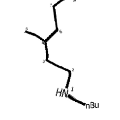 CCCCNCCC(C)CCC(C)C